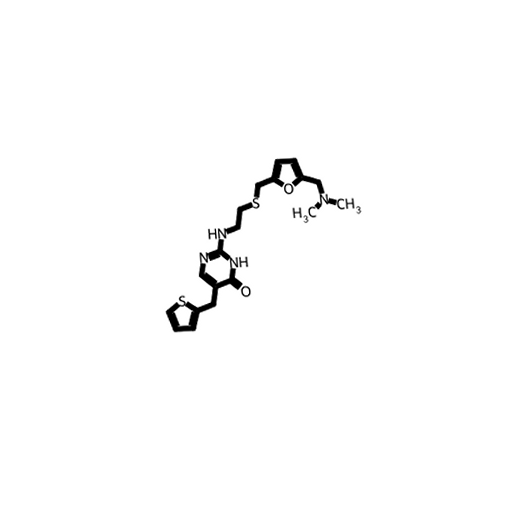 CN(C)Cc1ccc(CSCCNc2ncc(Cc3cccs3)c(=O)[nH]2)o1